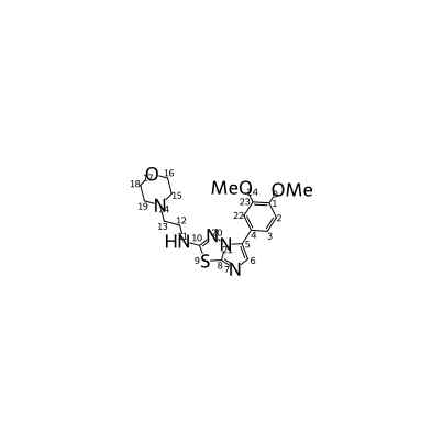 COc1ccc(-c2cnc3sc(NCCN4CCOCC4)nn23)cc1OC